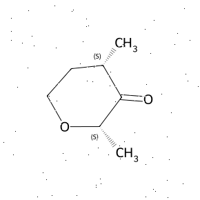 C[C@@H]1OCC[C@H](C)C1=O